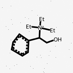 CC[N+](CC)(CC)C(CO)c1ccccc1